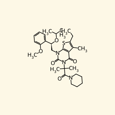 CCc1sc2c(c1C)c(=O)n(C(C)(C)C(=O)N1CCCCC1)c(=O)n2C[C@H](OC(C)C)c1ccccc1OC